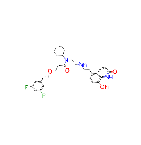 O=C(CCOCCc1cc(F)cc(F)c1)N(CCNCCc1ccc(O)c2[nH]c(=O)ccc12)C1CCCCC1